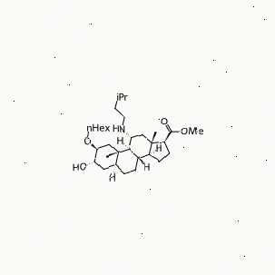 CCCCCCO[C@H]1C[C@@]2(C)[C@@H](CC[C@@H]3[C@@H]2[C@H](NCCC(C)C)C[C@]2(C)[C@@H](C(=O)OC)CC[C@@H]32)C[C@@H]1O